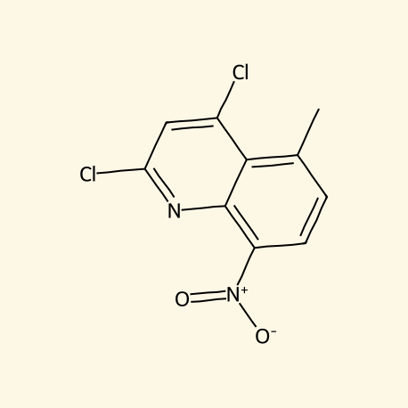 Cc1ccc([N+](=O)[O-])c2nc(Cl)cc(Cl)c12